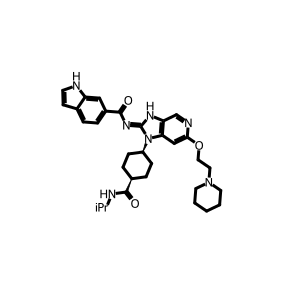 CC(C)NC(=O)[C@H]1CC[C@@H](n2/c(=N/C(=O)c3ccc4cc[nH]c4c3)[nH]c3cnc(OCCN4CCCCC4)cc32)CC1